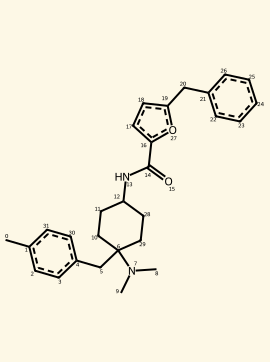 Cc1ccc(CC2(N(C)C)CCC(NC(=O)c3ccc(Cc4ccccc4)o3)CC2)cc1